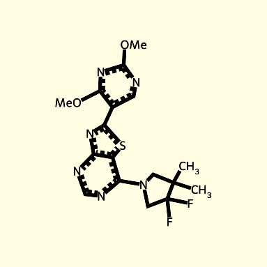 COc1ncc(-c2nc3ncnc(N4CC(C)(C)C(F)(F)C4)c3s2)c(OC)n1